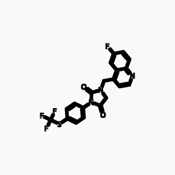 O=C1CN(Cc2ccnc3ccc(F)cc23)C(=O)N1c1ccc(SC(F)(F)F)cc1